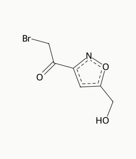 O=C(CBr)c1cc(CO)on1